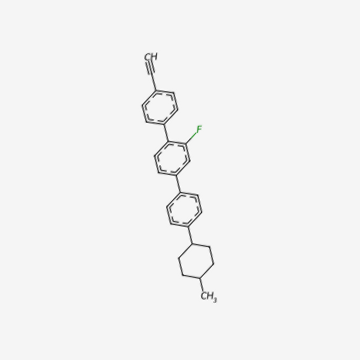 C#Cc1ccc(-c2ccc(-c3ccc(C4CCC(C)CC4)cc3)cc2F)cc1